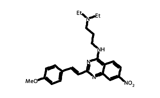 CCN(CC)CCCNc1nc(C=Cc2ccc(OC)cc2)nc2cc([N+](=O)[O-])ccc12